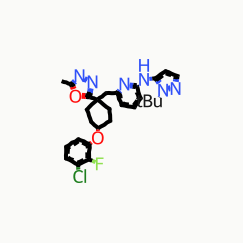 Cc1nnc(C2(Cc3cccc(Nc4ccnn4C(C)(C)C)n3)CCC(Oc3cccc(Cl)c3F)CC2)o1